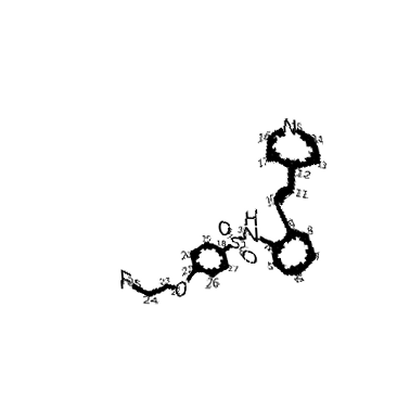 O=S(=O)(Nc1ccccc1C=Cc1ccncc1)c1ccc(OCCF)cc1